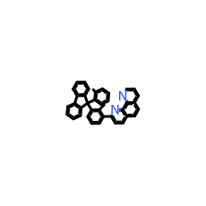 Cc1ccccc1C1(c2cccc(-c3ccc4ccc5cccnc5c4n3)c2C)c2ccccc2-c2ccccc21